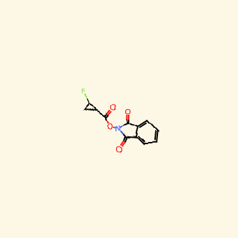 O=C(ON1C(=O)c2ccccc2C1=O)C1CC1F